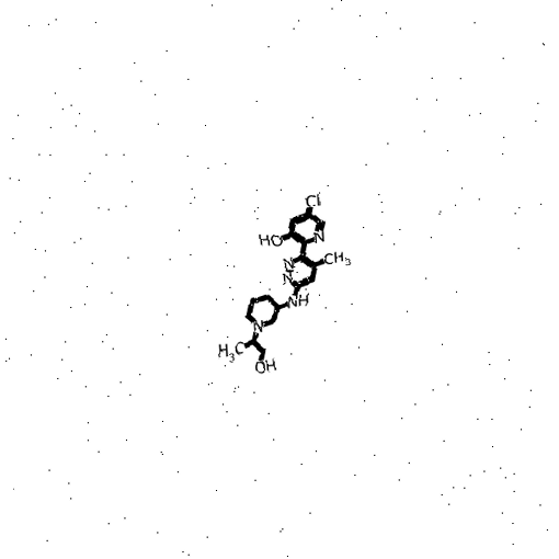 Cc1cc(NC2CCCN(C(C)CO)C2)nnc1-c1ncc(Cl)cc1O